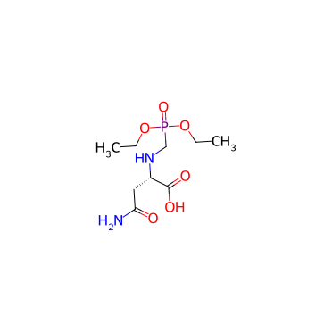 CCOP(=O)(CN[C@@H](CC(N)=O)C(=O)O)OCC